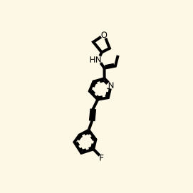 CC=C(NC1COC1)c1ccc(C#Cc2cccc(F)c2)cn1